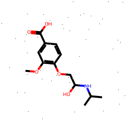 COc1cc(C(=O)O)ccc1OCC(O)NC(C)C